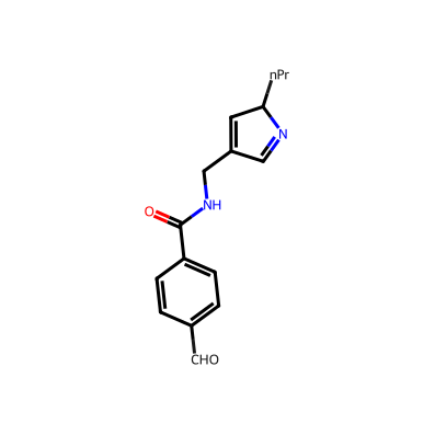 CCCC1C=C(CNC(=O)c2ccc(C=O)cc2)C=N1